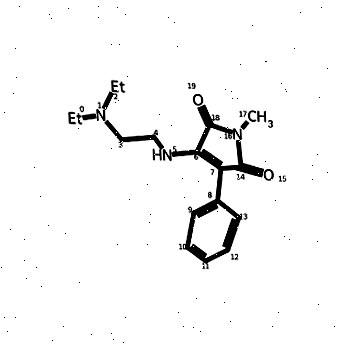 CCN(CC)CCNC1=C(c2ccccc2)C(=O)N(C)C1=O